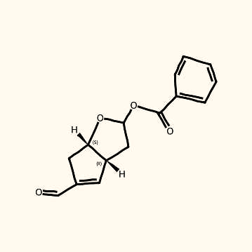 O=CC1=C[C@H]2CC(OC(=O)c3ccccc3)O[C@H]2C1